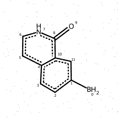 Bc1ccc2cc[nH]c(=O)c2c1